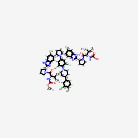 COC(=O)N[C@H](C(=O)N1CCC[C@H]1c1nc2cc([C@H]3CC[C@H](c4cc5nc([C@@H]6CCCN6C(=O)[C@@H](NC(=O)O)C(C)C)[nH]c5cc4F)N3c3cc(F)c(N4CCC(c5ccc(F)c(F)c5)CC4)c(F)c3)c(F)cc2[nH]1)C(C)C